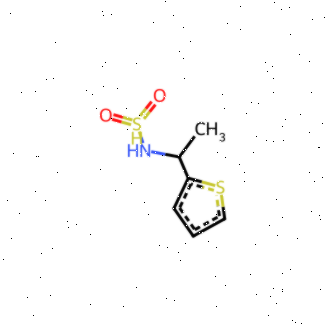 CC(N[SH](=O)=O)c1cccs1